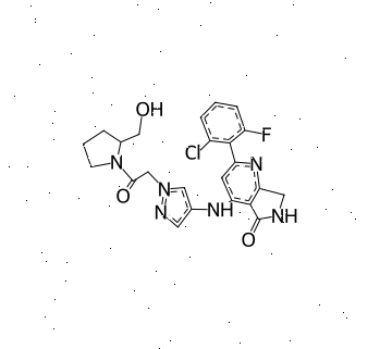 O=C1NCc2nc(-c3c(F)cccc3Cl)cc(Nc3cnn(CC(=O)N4CCCC4CO)c3)c21